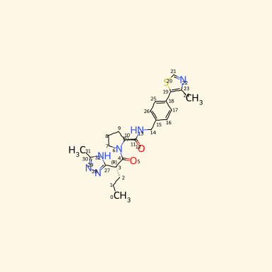 CCC[C@@H](C(=O)N1CCC[C@H]1C(=O)NCc1ccc(-c2scnc2C)cc1)c1nnc(C)[nH]1